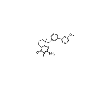 COc1cccc(-c2cccc(CC3(C)CCCc4c3nc(N)n(C)c4=O)c2)c1